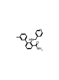 Cc1cccc(-c2cccc(C(N)=O)c2NCc2ccncc2)c1